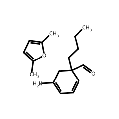 CCCCC1(C=O)C=CC=C(N)C1.Cc1ccc(C)o1